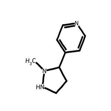 CN1NCCC1c1ccncc1